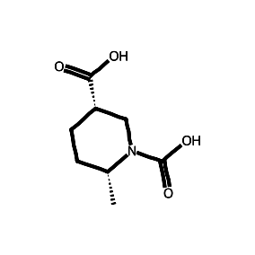 C[C@@H]1CC[C@H](C(=O)O)CN1C(=O)O